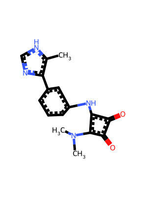 Cc1[nH]cnc1-c1cccc(Nc2c(N(C)C)c(=O)c2=O)c1